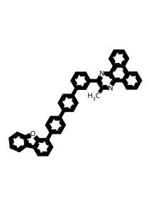 Cc1nc2c3ccccc3c3ccccc3c2nc1-c1cccc(-c2ccc(-c3ccc(-c4cccc5c4oc4ccccc45)cc3)cc2)c1